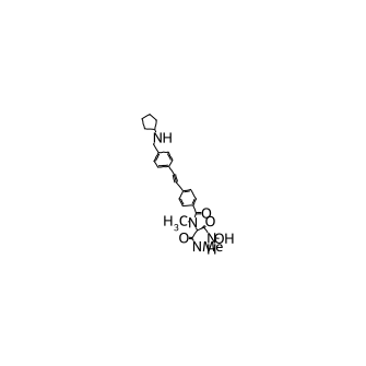 CNC(=O)C(C(=O)NO)N(C)C(=O)c1ccc(C#Cc2ccc(CNC3CCCC3)cc2)cc1